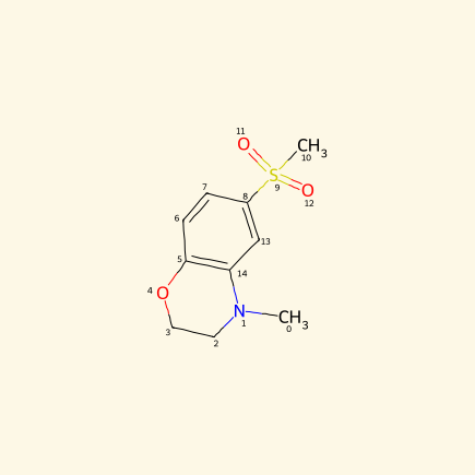 CN1CCOc2ccc(S(C)(=O)=O)cc21